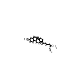 CC(C)CCCCC1CCC2[C@@H]3CCC4C[C@@H](O)CCC4C3CCC12C